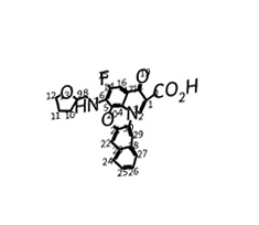 O=C(O)c1cn2c3c(c(NCC4CCCO4)c(F)cc3c1=O)Oc1cc3ccccc3cc1-2